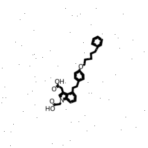 O=C(O)Cc1cn(CC(=O)O)c2cccc(CCc3ccc(OCCCCCc4ccccc4)cc3)c12